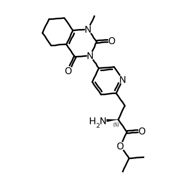 CC(C)OC(=O)[C@@H](N)Cc1ccc(-n2c(=O)c3c(n(C)c2=O)CCCC3)cn1